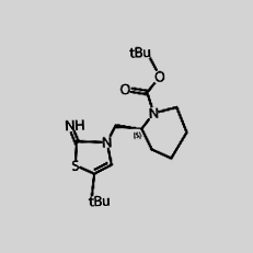 CC(C)(C)OC(=O)N1CCCC[C@H]1Cn1cc(C(C)(C)C)sc1=N